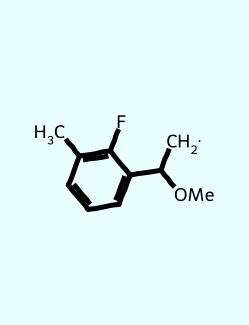 [CH2]C(OC)c1cccc(C)c1F